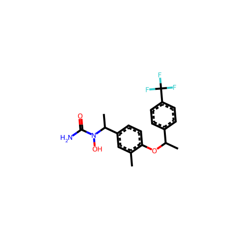 Cc1cc(C(C)N(O)C(N)=O)ccc1OC(C)c1ccc(C(F)(F)F)cc1